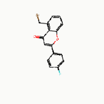 O=c1cc(-c2ccc(F)cc2)oc2cccc(CBr)c12